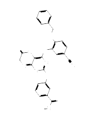 CN(C)C(=O)c1cccc(OC2=NC(Oc3cc(C#N)ccc3OCc3ccccc3)=C3NC(=O)CN=C3N2)c1